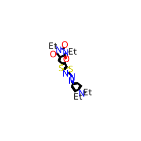 CCN1C(=O)C(=Cc2cc3sc(/N=N/c4ccc(N(CC)CC)cc4)nc3s2)C(=O)N(CC)C1=O